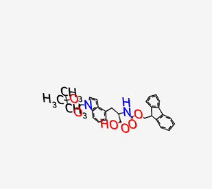 CC(C)(C)OC(=O)n1ccc2c(CC(NC(=O)OCC3c4ccccc4-c4ccccc43)C(=O)O)cccc21